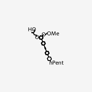 C=C(CO)CCOc1cc(OCCOC)cc(-c2ccc(C#Cc3ccc(C4CCC(CCCCC)CC4)cc3)cc2)c1